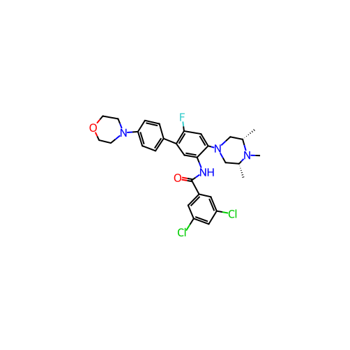 C[C@@H]1CN(c2cc(F)c(-c3ccc(N4CCOCC4)cc3)cc2NC(=O)c2cc(Cl)cc(Cl)c2)C[C@H](C)N1C